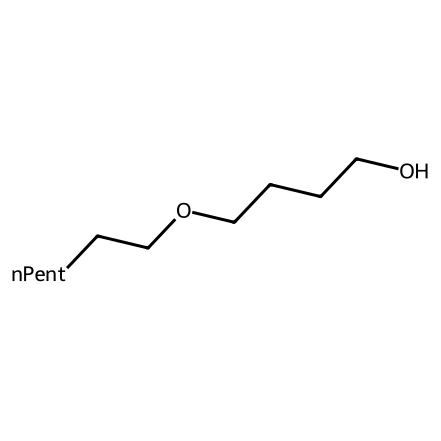 CCCCCCCOCCCCO